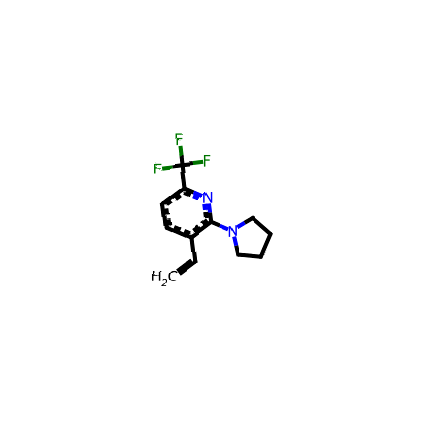 C=Cc1ccc(C(F)(F)F)nc1N1CCCC1